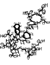 O=C(O)CC[C@H](NC(=O)N[C@@H](CCCCNC(=O)[C@H](CCC(=O)O)NC(=O)[C@H](CCC(=O)O)NC(=O)[C@H](CCC(=O)O)NC(=O)[C@H](Cc1ccc2ccccc2c1)NC(=O)[C@H]1CC[C@H](CNC(=O)CN2CCN(CC(=O)O)CCN(CC(=O)O)CCN(CC(=O)O)CC2)CC1)C(=O)O)C(=O)O